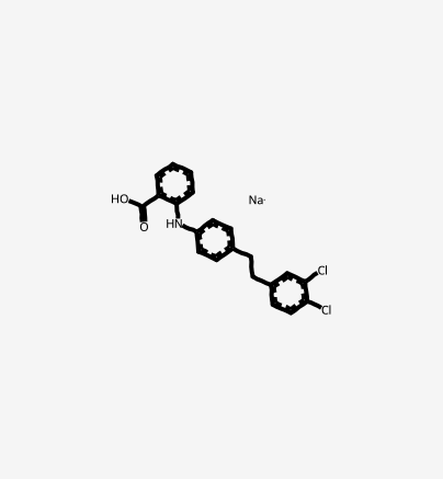 O=C(O)c1ccccc1Nc1ccc(CCc2ccc(Cl)c(Cl)c2)cc1.[Na]